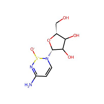 NC1=N[S+]([O-])N([C@@H]2O[C@H](CO)C(O)C2O)C=C1